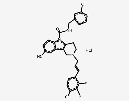 Cl.N#Cc1ccc2c(c1)c1c(n2C(=O)NCc2ccnc(Cl)c2)CCN(C/C=C/c2ccc(Cl)c(F)c2F)C1